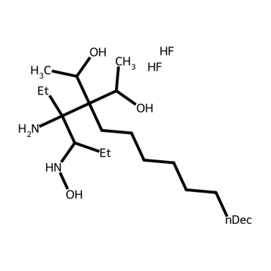 CCCCCCCCCCCCCCCCC(C(C)O)(C(C)O)C(N)(CC)C(CC)NO.F.F